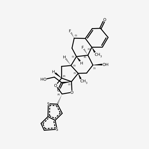 C[C@]12C=CC(=O)C=C1[C@@H](F)C[C@H]1[C@@H]3C[C@H]4O[C@@H](c5cc6sccc6s5)O[C@@]4(C(=O)CO)[C@@]3(C)C[C@H](O)[C@@]12F